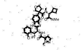 CNC(=O)[C@@H](C1CCC1)N(C)C(=O)C1(c2ccc3[nH]c([C@@H](NC(=O)c4ccnn4C)[C@H](c4ccccc4Cl)C(C)C)nc3c2)CCOC1